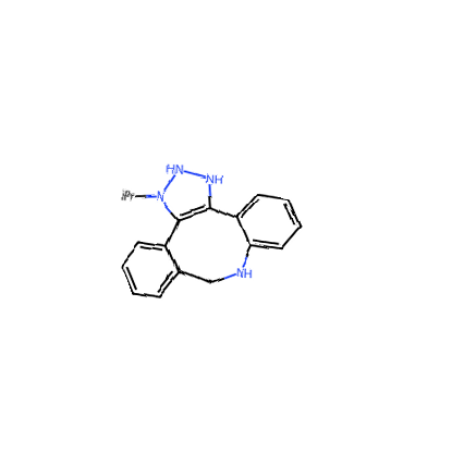 CC(C)N1NNC2=C1c1ccccc1CNc1ccccc12